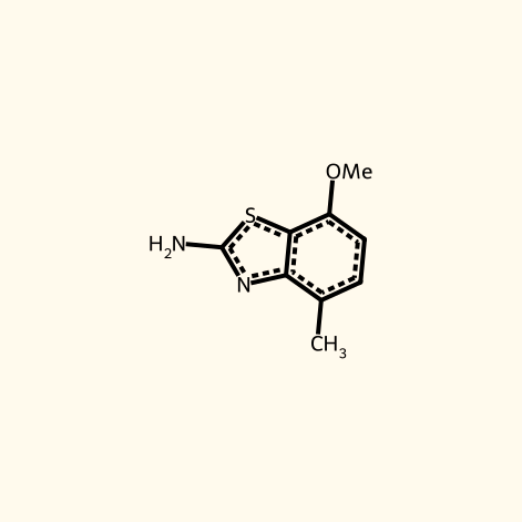 COc1ccc(C)c2nc(N)sc12